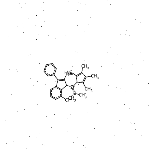 CCCCC1=C(c2ccccc2)c2cccc(Cl)c2[CH]1[Zr]([CH]1C(C)=C(C)C(C)=C1C)=[Si](C)C